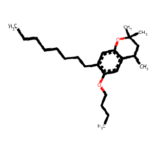 CCCCCCCCc1cc2c(cc1OCCCC)C(C)CC(C)(C)O2